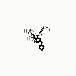 COCCOc1nc(C(=O)OC)c(O)c2ncc(Cc3ccc(F)cc3)cc12